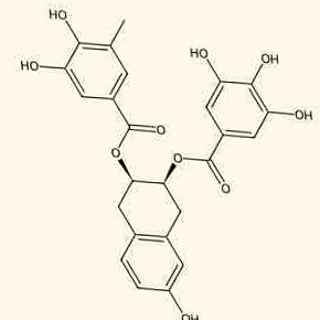 Cc1cc(C(=O)O[C@@H]2Cc3ccc(O)cc3C[C@@H]2OC(=O)c2cc(O)c(O)c(O)c2)cc(O)c1O